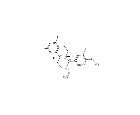 C=C[C@@H]1CC[C@H]2c3cc(F)cc(F)c3CC[C@@H]2[C@H]1c1ccc(OC(F)(F)F)c(F)c1